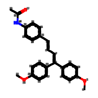 COc1ccc(C(=C/C=C/c2ccc(NC(C)=O)cc2)c2ccc(OC)cc2)cc1